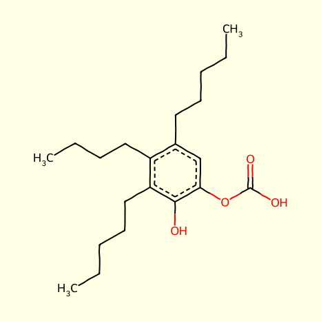 CCCCCc1cc(OC(=O)O)c(O)c(CCCCC)c1CCCC